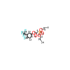 CCCOP(=O)(CC(=O)Oc1ccc(F)c(C(F)(F)F)c1)OCCC